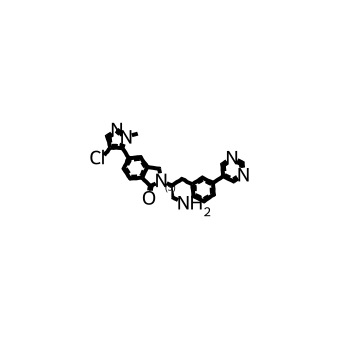 Cn1ncc(Cl)c1-c1ccc2c(c1)CN([C@H](CN)Cc1cccc(-c3cncnc3)c1)C2=O